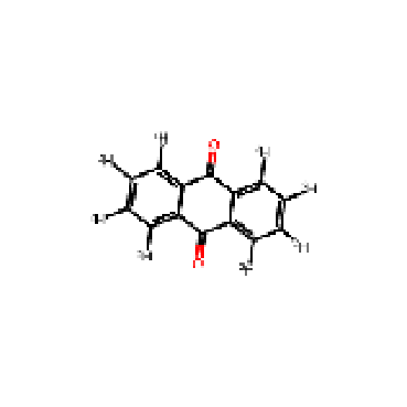 [2H]c1c([2H])c([2H])c2c(c1[2H])C(=O)c1c([2H])c([2H])c([2H])c([2H])c1C2=O